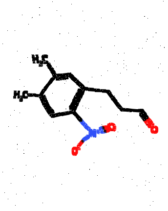 Cc1cc(CCC=O)c([N+](=O)[O-])cc1C